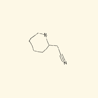 N#CCC1CCCC[N]1